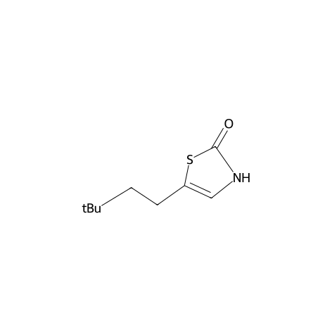 CC(C)(C)CCc1c[nH]c(=O)s1